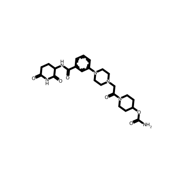 NC(=O)OC1CCN(C(=O)CN2CCN(c3cccc(C(=O)NC4CCC(=O)NC4=O)c3)CC2)CC1